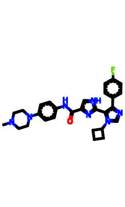 CN1CCN(c2ccc(NC(=O)c3c[nH]c(-c4c(-c5ccc(F)cc5)ncn4C4CCC4)n3)cc2)CC1